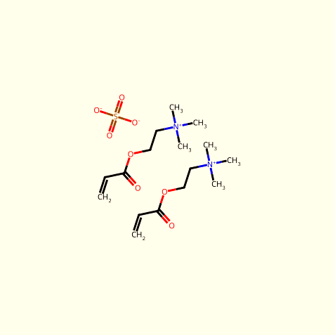 C=CC(=O)OCC[N+](C)(C)C.C=CC(=O)OCC[N+](C)(C)C.O=S(=O)([O-])[O-]